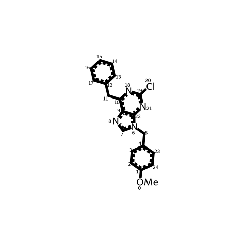 COc1ccc(Cn2cnc3c(Cc4ccccc4)nc(Cl)nc32)cc1